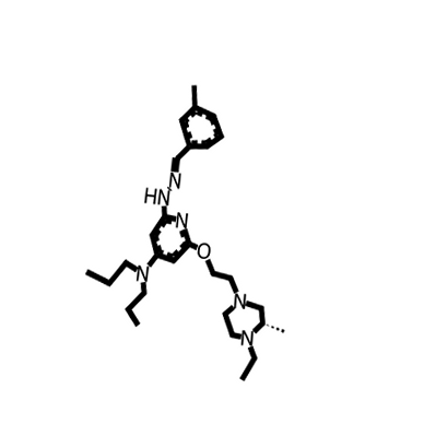 CCCN(CCC)c1cc(N/N=C/c2cccc(C)c2)nc(OCCN2CCN(CC)[C@@H](C)C2)c1